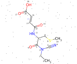 CCN(C#N)C(=O)C(CSC)NC(=O)/C=C/C(=O)O